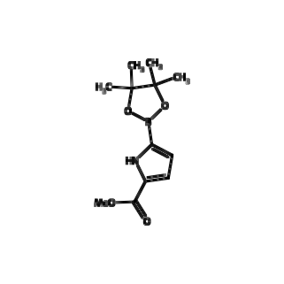 COC(=O)c1ccc(B2OC(C)(C)C(C)(C)O2)[nH]1